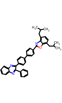 CC(C)Cc1ccc(CC(C)C)c2oc(-c3ccc(-c4ccc(-c5nc6ccccc6nc5-c5ccccc5)cc4)cc3)nc12